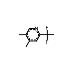 Cc1cnc(C(C)(F)F)cc1C